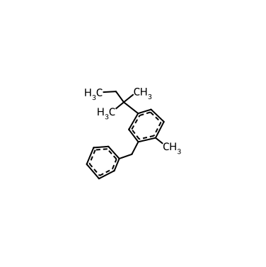 CCC(C)(C)c1ccc(C)c(Cc2ccccc2)c1